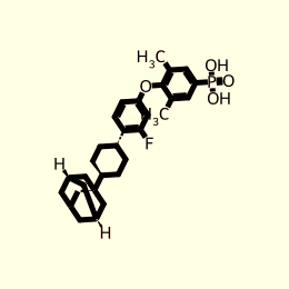 Cc1cc(P(=O)(O)O)cc(C)c1Oc1ccc([C@H]2CC[C@H]([C@]34CC5C[C@@H](C[C@H](C5)C3)C4)CC2)c(F)c1